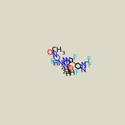 [2H]C([2H])([2H])Oc1nc(N[C@@H]2CCN(C(C)=O)CC2(F)F)nn2cc(F)c(-c3cc(F)c4ncn(CC(F)F)c4c3)c12